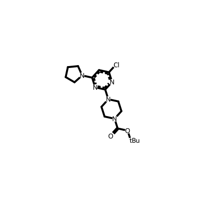 CC(C)(C)OC(=O)N1CCN(c2nc(Cl)cc(N3CCCC3)n2)CC1